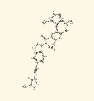 CN(C(=O)c1cc2c(cc1F)nc(N)c1cnn(C)c12)C1COc2nc(C#Cc3cnn(C)c3)ccc21